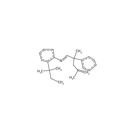 C=C(C)CC(C)(C=Nc1ccccc1C(C)(C)CC)c1ccccc1